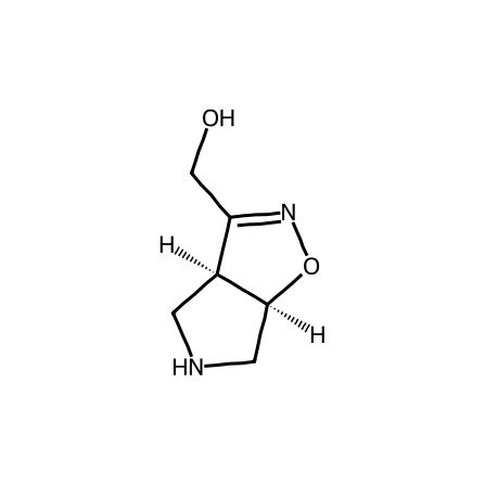 OCC1=NO[C@H]2CNC[C@@H]12